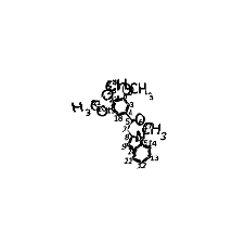 COc1cc(C(=O)Cc2cc3ccccc3n2C)cc(OC)c1OC